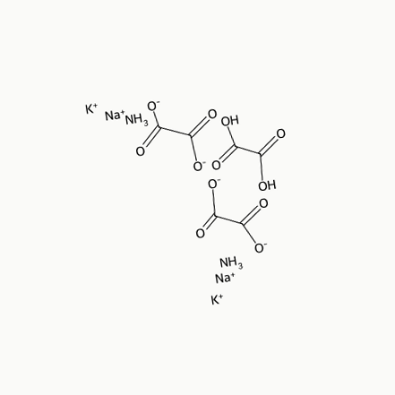 N.N.O=C(O)C(=O)O.O=C([O-])C(=O)[O-].O=C([O-])C(=O)[O-].[K+].[K+].[Na+].[Na+]